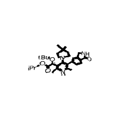 Cc1nc(C)c([C@H](OC(C)(C)C)C(=O)OC(C)C)c(N2CCC(C)(C)CC2)c1-c1ccc2c(c1)CNC2=O